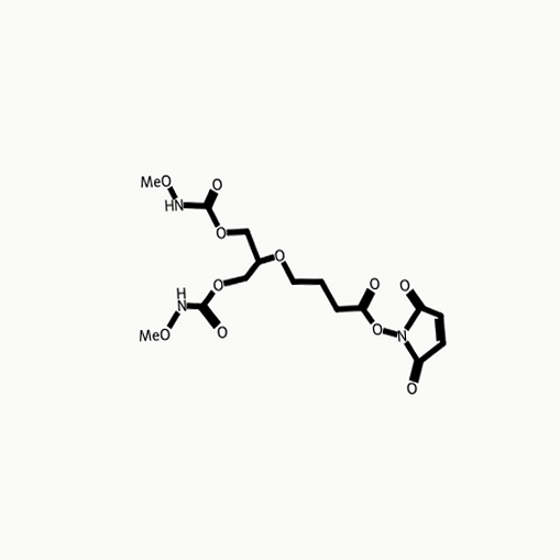 CONC(=O)OCC(COC(=O)NOC)OCCCC(=O)ON1C(=O)C=CC1=O